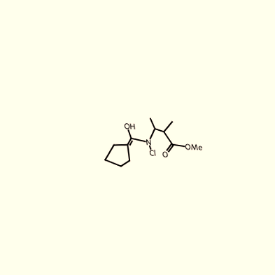 COC(=O)C(C)C(C)N(Cl)C(O)=C1CCCC1